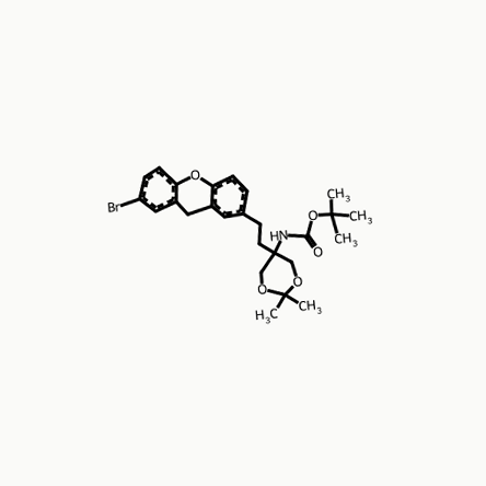 CC(C)(C)OC(=O)NC1(CCc2ccc3c(c2)Cc2cc(Br)ccc2O3)COC(C)(C)OC1